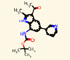 CC(=O)c1c(C)[nH]c2c(NC(=O)OC(C)(C)C)cc(-c3cccnc3)cc12